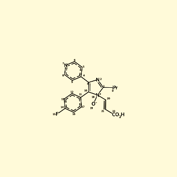 CC(C)C1=NC(c2ccncc2)=C(c2ccc(F)cc2)[N+]1([O-])/C=C/C(=O)O